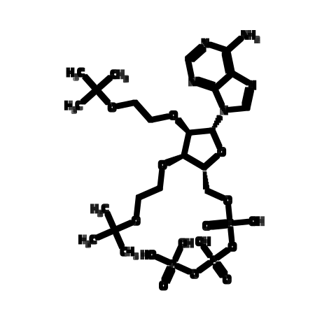 CC(C)(C)OCCO[C@@H]1[C@H](OCCOC(C)(C)C)[C@@H](COP(=O)(O)OP(=O)(O)OP(=O)(O)O)O[C@H]1n1cnc2c(N)ncnc21